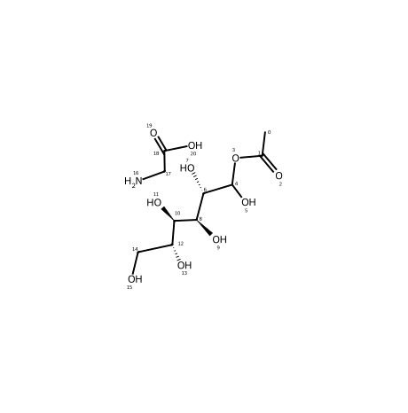 CC(=O)OC(O)[C@@H](O)[C@@H](O)[C@H](O)[C@H](O)CO.NCC(=O)O